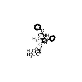 Cc1c(OC[C@H]2COC(C)(C)O2)nn(-c2ccccc2)c1NC(=O)Oc1ccccc1